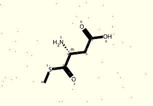 CSC(=O)[C@H](N)CC(=O)O